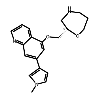 Cn1ccc(-c2cc(OC[C@@H]3CNCCCO3)c3cccnc3c2)c1